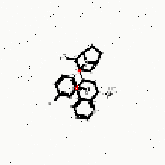 Cl.O[C@H]1C[C@H](CN2C3CCC2[C@H](O)[C@@H](c2ccc(F)cc2Cl)C3)Cc2cccnc21